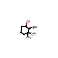 COC1(C)CCCC(O)C1C=O